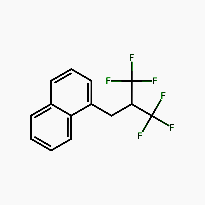 FC(F)(F)C(Cc1cccc2ccccc12)C(F)(F)F